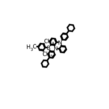 Cc1cc(C)c(B2c3cc(C4CCCCC4)ccc3N3c4ccccc4N(c4ccc(C5CCCCC5)cc4)c4cccc2c43)c(C)c1